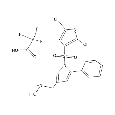 CNCc1cc(-c2ccccc2)n(S(=O)(=O)c2cc(Cl)sc2Cl)c1.O=C(O)C(F)(F)F